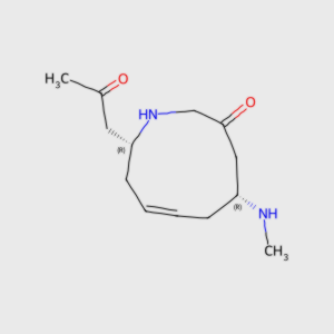 CN[C@@H]1CC=CC[C@H](CC(C)=O)NCC(=O)C1